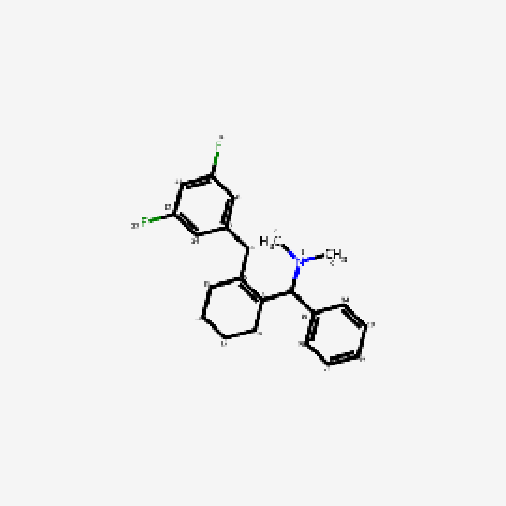 CN(C)C(C1=C(Cc2cc(F)cc(F)c2)CCCC1)c1ccccc1